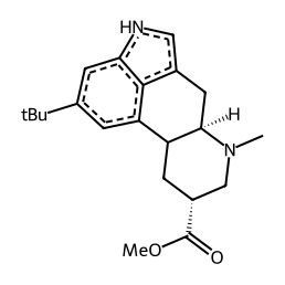 COC(=O)[C@@H]1CC2c3cc(C(C)(C)C)cc4[nH]cc(c34)C[C@H]2N(C)C1